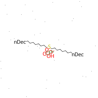 CCCCCCCCCCCCCCCCCCSCCCCCCCCCCCCCCCCCC.[O-][Cl+3]([O-])([O-])O